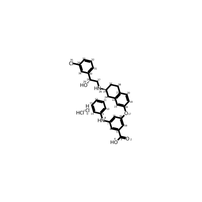 Cl.Cl.O=C(O)c1cc(Nc2ccccc2)cc(Oc2ccc3c(c2)C[C@@H](NC[C@H](O)c2cccc(Cl)c2)CC3)c1